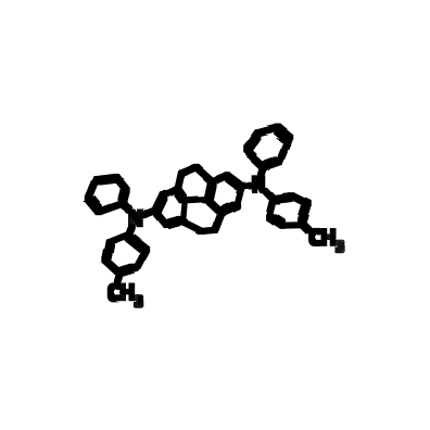 Cc1ccc(N(c2ccccc2)c2cc3c4c(c2)CCc2cc(N(c5ccccc5)c5ccc(C)cc5)cc(c2-4)CC3)cc1